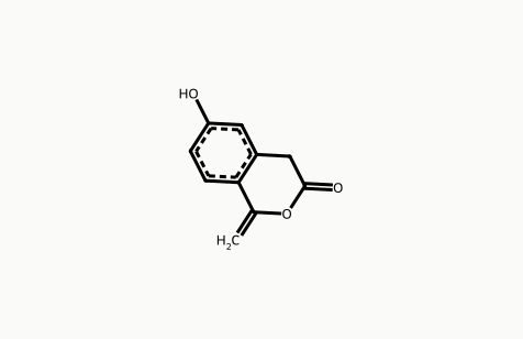 C=C1OC(=O)Cc2cc(O)ccc21